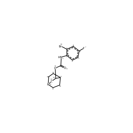 O=C(Nc1ccc(F)cc1Br)OC1CN2CCC1CC2